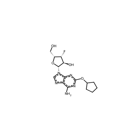 Nc1nc(OC2CCCC2)nc2c1ncn2[C@@H]1O[C@H](CO)[C@H](F)[C@H]1O